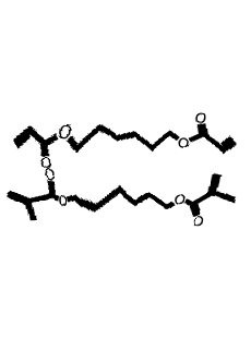 C=C(C)C(=O)OCCCCCCOC(=O)C(=C)C.C=CC(=O)OCCCCCCOC(=O)C=C